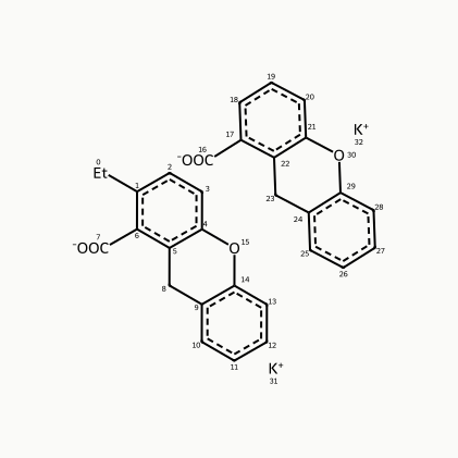 CCc1ccc2c(c1C(=O)[O-])Cc1ccccc1O2.O=C([O-])c1cccc2c1Cc1ccccc1O2.[K+].[K+]